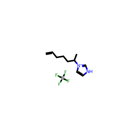 C=CCCCC(C)[n+]1cc[nH]c1.F[B-](F)(F)F